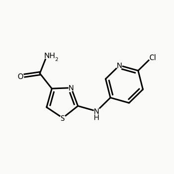 NC(=O)c1csc(Nc2ccc(Cl)nc2)n1